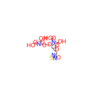 CN1C(=O)C(=Cc2cc3cc(OCCOCCN(CC(=O)O)CC(=O)O)c(N(CC(=O)O)CC(=O)O)cc3o2)N(C)C1=S